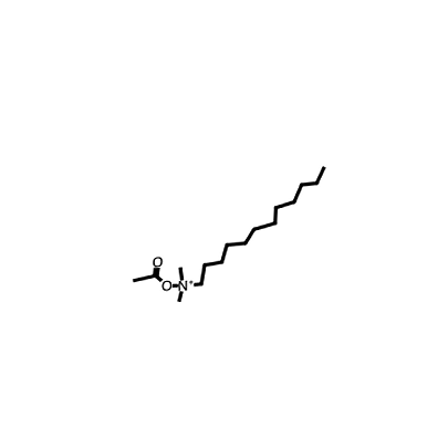 CCCCCCCCCCCC[N+](C)(C)OC(C)=O